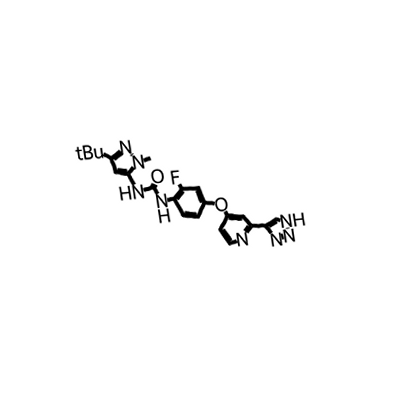 Cn1nc(C(C)(C)C)cc1NC(=O)Nc1ccc(Oc2ccnc(-c3c[nH]nn3)c2)cc1F